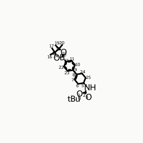 CC(C)(C)OC(=O)NC1CC=C(c2ccc(B3OC(C)(C)C(C)(C)O3)cc2)CC1